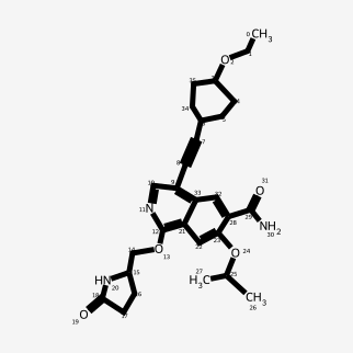 CCOC1CCC(C#Cc2cnc(OCC3CCC(=O)N3)c3cc(OC(C)C)c(C(N)=O)cc23)CC1